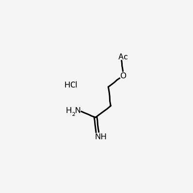 CC(=O)OCCC(=N)N.Cl